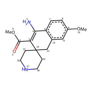 COC(=O)C1=C(N)c2ccc(OC)cc2CC12CCNCC2